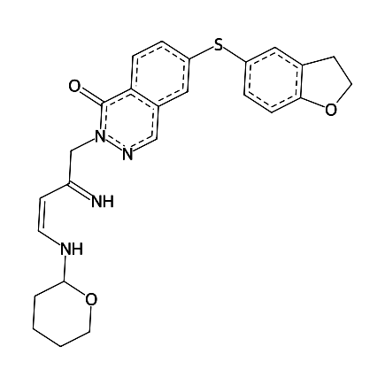 N=C(/C=C\NC1CCCCO1)Cn1ncc2cc(Sc3ccc4c(c3)CCO4)ccc2c1=O